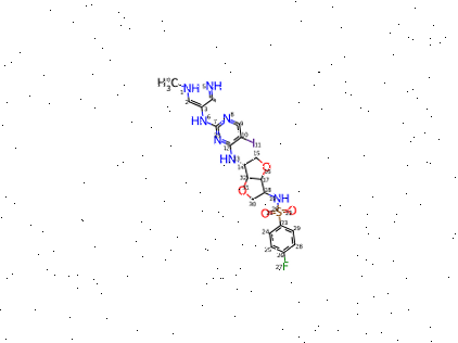 CN/C=C(\C=N)Nc1ncc(I)c(N[C@@H]2COC3C(NS(=O)(=O)c4ccc(F)cc4)COC32)n1